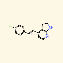 Fc1ccc(/C=C/c2ccnc3c2CCN3)cc1